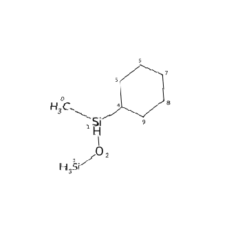 C[SiH](O[SiH3])C1CCCCC1